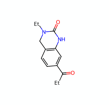 CCC(=O)c1ccc2c(c1)NC(=O)N(CC)C2